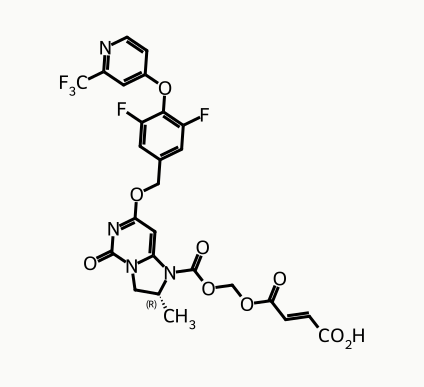 C[C@@H]1Cn2c(cc(OCc3cc(F)c(Oc4ccnc(C(F)(F)F)c4)c(F)c3)nc2=O)N1C(=O)OCOC(=O)C=CC(=O)O